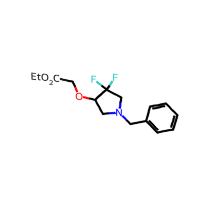 CCOC(=O)COC1CN(Cc2ccccc2)CC1(F)F